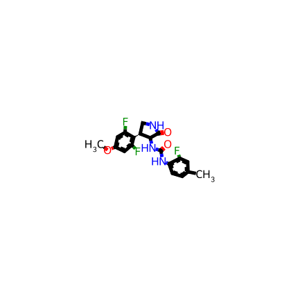 COc1cc(F)c([C@@H]2CNC(=O)C2NC(=O)Nc2ccc(C)cc2F)c(F)c1